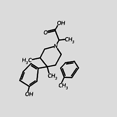 CC(C(=O)O)N1CCC(C)(c2cccc(O)c2)C(C)C1.Cc1ccccc1